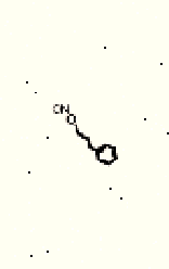 O=NOCCCCc1ccccc1